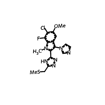 COc1cc2c(-n3ccnc3)c(-c3nnc(CSC)[nH]3)n(C)c2c(F)c1Cl